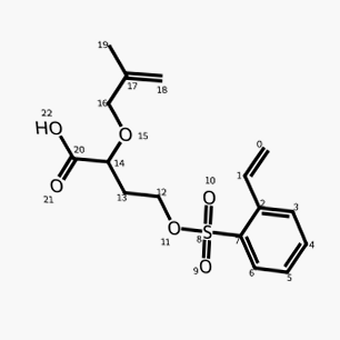 C=Cc1ccccc1S(=O)(=O)OCCC(OCC(=C)C)C(=O)O